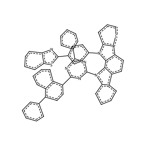 c1ccc(-c2nc(-c3ccc(-c4ccccc4)c4ccccc34)nc(-n3c4ccccc4c4ccc5c6ccccc6n(-c6ccc(-c7nc8ccccc8s7)cc6)c5c43)n2)cc1